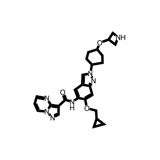 O=C(Nc1cc2cn(C3CCC(OC4CNC4)CC3)nc2cc1OCC1CC1)c1cnn2cccnc12